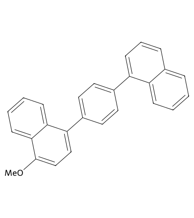 COc1ccc(-c2ccc(-c3cccc4ccccc34)cc2)c2ccccc12